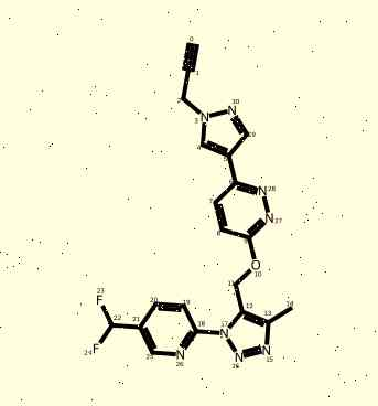 C#CCn1cc(-c2ccc(OCc3c(C)nnn3-c3ccc(C(F)F)cn3)nn2)cn1